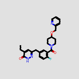 CCc1cc(Cc2ccc(F)c(C(=O)N3CCC(OCc4ccccn4)CC3)c2)n[nH]c1=O